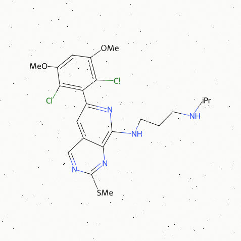 COc1cc(OC)c(Cl)c(-c2cc3cnc(SC)nc3c(NCCCNC(C)C)n2)c1Cl